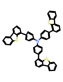 c1ccc2c(c1)sc1c(-c3ccc(N(c4ccc(-c5cccc6c5sc5ccccc56)cc4)c4ccc(-c5cccc6c5sc5ccccc56)cc4)cc3)cccc12